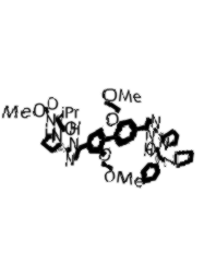 COCCOc1cc(-c2cnc([C@@H]3CCCN3C(=O)[C@@H](NC(=O)OC)C(C)C)[nH]2)ccc1-c1ccc(-c2cnc([C@@H]3CCCN3C(=O)[C@@H](c3ccccc3)N3CCCC3)[nH]2)cc1OCCOC